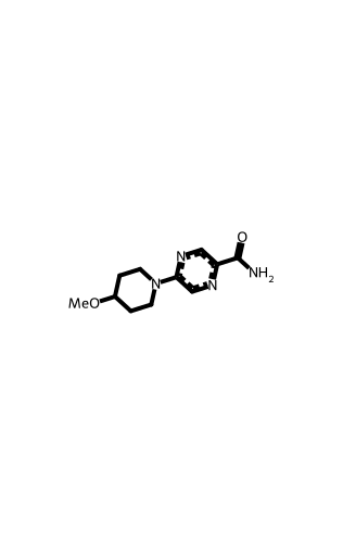 COC1CCN(c2cnc(C(N)=O)cn2)CC1